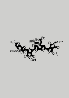 CCCCCCCCCC[Si]1(CCCCCCCCCC)c2cc(C)sc2-c2sc(-c3sc(-c4cc5c(s4)-c4sc(-c6sc(C)c7c6C(=O)N(CCCCCCCC)C7=O)cc4[Si]5(CC(CC)CCCC)CC(CC)CCCC)c4c3C(=O)N(CCCCCCCC)C4=O)cc21